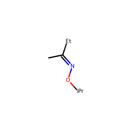 [CH2]CC(C)=NOC(C)C